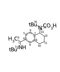 CC(NC(C)(C)C)c1ccc2c(c1)CCCC2N(C(=O)O)C(C)(C)C